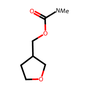 CNC(=O)OCC1CCOC1